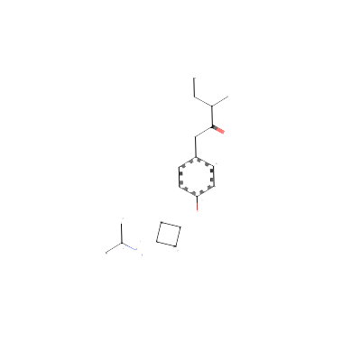 CCC(C)C(=O)Cc1ccc(O[C@H]2C[C@@H](NC(C)C)C2)cc1